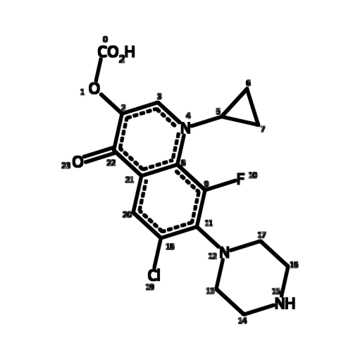 O=C(O)Oc1cn(C2CC2)c2c(F)c(N3CCNCC3)c(Cl)cc2c1=O